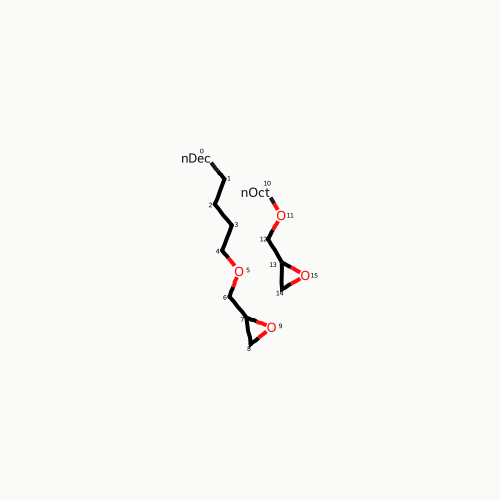 CCCCCCCCCCCCCCOCC1CO1.CCCCCCCCOCC1CO1